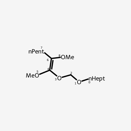 CCCCCCCOCOC(OC)=C(CCCCC)OC